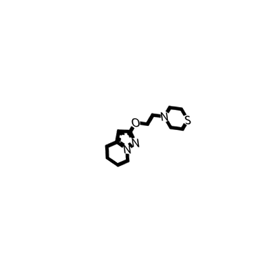 c1c(OCCN2CCSCC2)nn2c1CCCC2